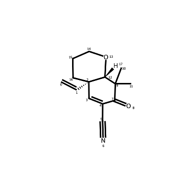 C=C[C@@]12C=C(C#N)C(=O)C(C)(C)[C@H]1OCCC2